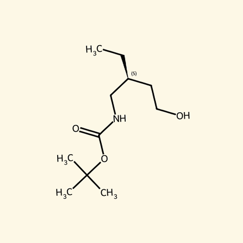 CC[C@@H](CCO)CNC(=O)OC(C)(C)C